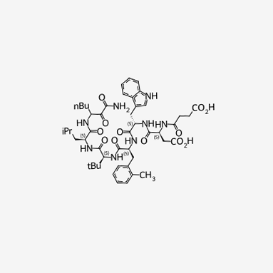 CCCCC(NC(=O)[C@H](CC(C)C)NC(=O)[C@@H](NC(=O)[C@H](Cc1ccccc1C)NC(=O)[C@H](Cc1c[nH]c2ccccc12)NC(=O)[C@H](CC(=O)O)NC(=O)CCC(=O)O)C(C)(C)C)C(=O)C(N)=O